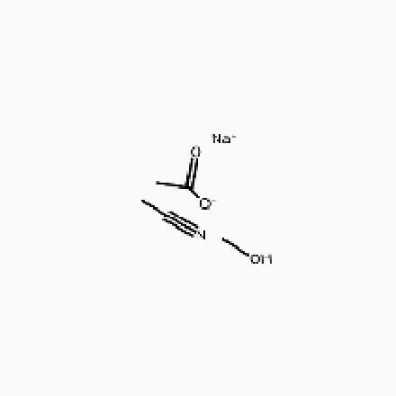 CC#N.CC(=O)[O-].CO.[Na+]